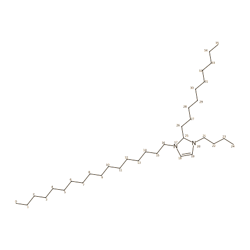 CCCCCCCCCCCCCCCCCN1C=CN(CCCC)C1CCCCCCCCCC